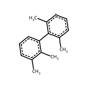 Cc1[c]ccc(C)c1-c1cccc(C)c1C